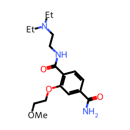 CCN(CC)CCNC(=O)c1ccc(C(N)=O)cc1OCCOC